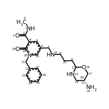 CNC(=O)c1cc(CNCCCC2NC[C@@H](N)CO2)cn(Cc2ccccc2)c1=O